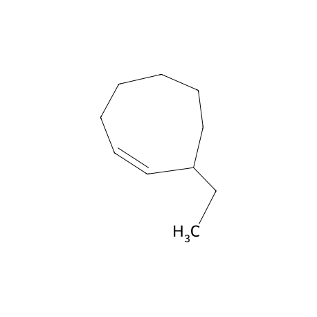 CCC1C=CCCCCC1